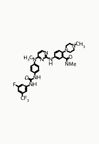 CNC(=O)c1cc(Nc2nccc(N(C)c3ccc(NC(=O)Nc4cc(F)cc(C(F)(F)F)c4)cc3)n2)ccc1N1CCN(C)CC1